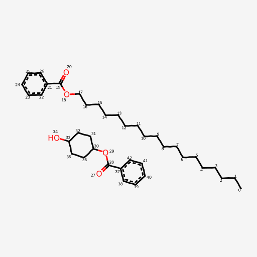 CCCCCCCCCCCCCCCCCCOC(=O)c1ccccc1.O=C(OC1CCC(O)CC1)c1ccccc1